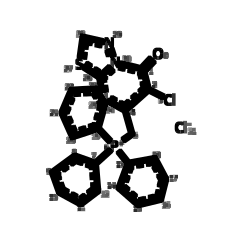 O=c1c(Cl)c(C[P+](c2ccccc2)(c2ccccc2)c2ccccc2)nc2scnn12.[Cl-]